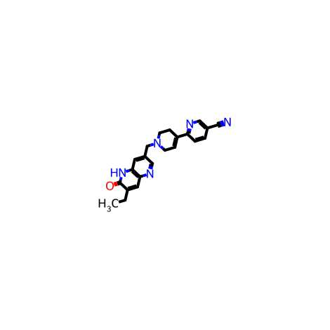 CCc1cc2ncc(CN3CC=C(c4ccc(C#N)cn4)CC3)cc2[nH]c1=O